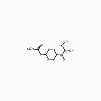 COC(=O)CC1CCC(N(C)C(=O)OC(C)(C)C)CC1